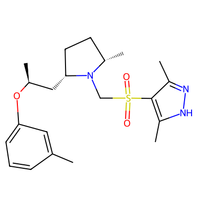 Cc1cccc(O[C@@H](C)C[C@@H]2CC[C@H](C)N2CS(=O)(=O)c2c(C)n[nH]c2C)c1